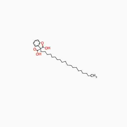 CCCCCCCCCCCCCCCCCCCCC(C(=O)O)(C(=O)O)c1ccccc1